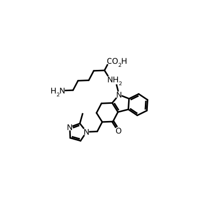 Cc1nccn1CC1CCc2c(c3ccccc3n2C)C1=O.NCCCCC(N)C(=O)O